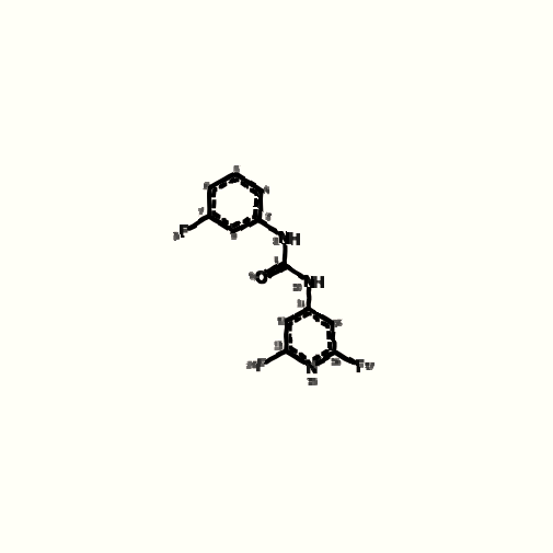 O=C(Nc1cccc(F)c1)Nc1cc(F)nc(F)c1